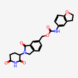 O=C1CCC(N2Cc3ccc(COC(=O)Nc4ccc5c(c4)CCO5)cc3C2=O)C(=O)N1